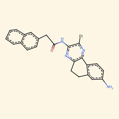 CCc1nc2c(nc1NC(=O)Cc1ccc3ccccc3c1)CCc1cc(N)ccc1-2